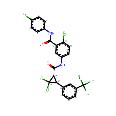 O=C(Nc1ccc(F)cc1)c1cc(NC(=O)[C@@H]2C(c3cccc(C(F)(F)F)c3)C2(Cl)Cl)ccc1Cl